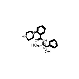 O=C(N[C@@H](CO)[C@@H](O)c1ccccc1)c1ccccc1N1CCNCC1